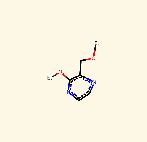 CCOCc1nccnc1OCC